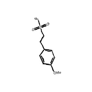 COc1ccc(CCS(=O)(=O)C(C)(C)C)cc1